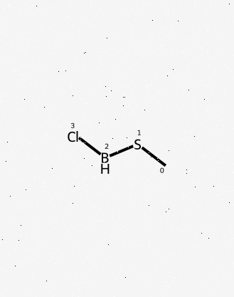 CSBCl